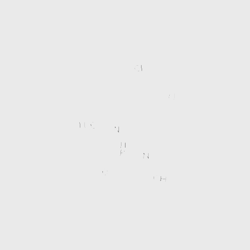 CN(CCCl)[PH](=O)N(C)CCCl